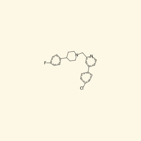 Fc1ccc(C2CCN(Cc3cc(-c4ccc(Cl)cc4)ccn3)CC2)cc1